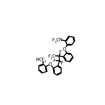 FC(F)(F)Nc1ccccc1Oc1ccccc1C(F)(F)C(F)(c1ccccc1Oc1ccccc1NC(F)(F)F)C(F)(F)F